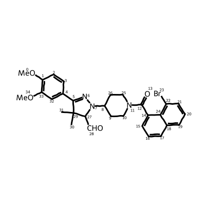 COc1ccc(C2=NN(C3CCN(C(=O)c4cccc5cccc(Br)c45)CC3)C(C=O)C2(C)C)cc1OC